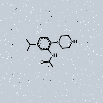 CC(=O)Nc1cc(C(C)C)ccc1N1CCNCC1